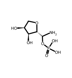 NC(OP(=O)(O)O)[C@H]1O[CH][C@H](O)[C@@H]1O